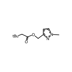 Cn1ccc(COC(=O)CC(C)(C)C)n1